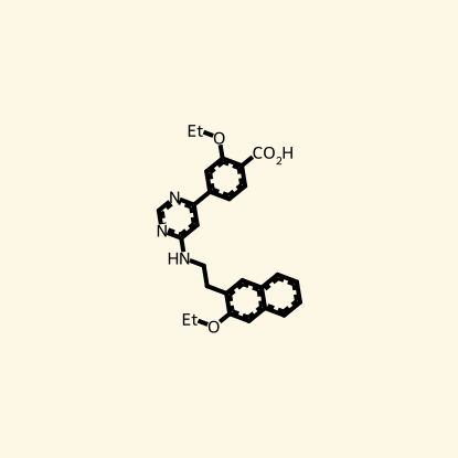 CCOc1cc2ccccc2cc1CCNc1cc(-c2ccc(C(=O)O)c(OCC)c2)ncn1